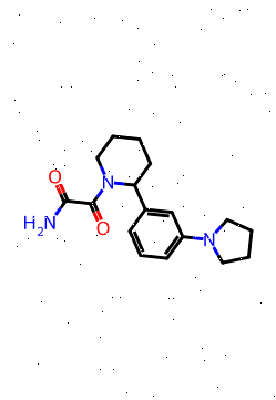 NC(=O)C(=O)N1CCCCC1c1cccc(N2CCCC2)c1